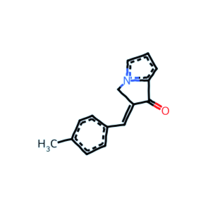 Cc1ccc(C=C2Cn3cccc3C2=O)cc1